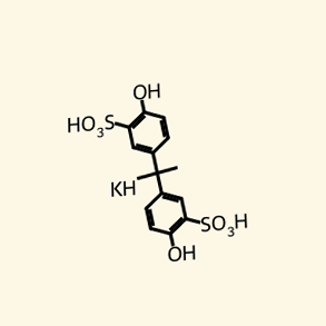 CC(C)(c1ccc(O)c(S(=O)(=O)O)c1)c1ccc(O)c(S(=O)(=O)O)c1.[KH]